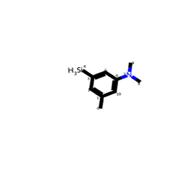 Cc1cc([SiH3])cc(N(C)C)c1